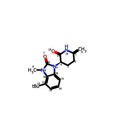 C=C1CC[C@@H](n2c(=O)n(C)c3c(C(C)(C)C)cccc32)C(=O)N1